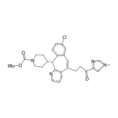 Cn1cnc(C(=O)CCC2=Cc3cc(Cl)ccc3C(C3CCN(C(=O)OC(C)(C)C)CC3)c3ncccc32)c1